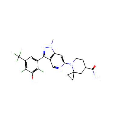 Cn1nc(-c2cc(C(F)(F)F)c(F)c(O)c2F)c2cnc(N3CCC(C(N)=O)CC34CC4)cc21